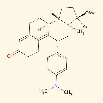 CO[C@]1(C(C)=O)CC[C@H]2[C@@H]3CCC4=CC(=O)CCC4=C3[C@@H](c3ccc(N(C)C)cc3)C[C@@]21C